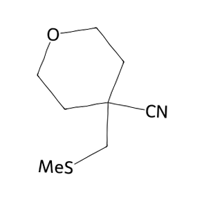 CSCC1(C#N)CCOCC1